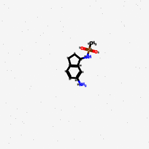 CS(=O)(=O)NC1CCc2ccc(N)cc21